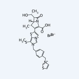 CSc1c2sc(C3=C(C(=O)O)N4C(=O)[C@H]([C@@H](C)O)[C@H]4[C@H]3C)c[n+]2cn1Cc1ccc(C[n+]2ccsc2)cc1.[Br-].[Br-]